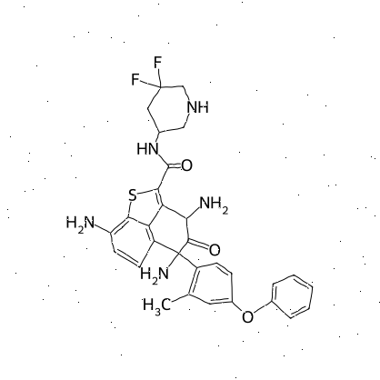 Cc1cc(Oc2ccccc2)ccc1C1(N)C(=O)C(N)c2c(C(=O)NC3CNCC(F)(F)C3)sc3c(N)ccc1c23